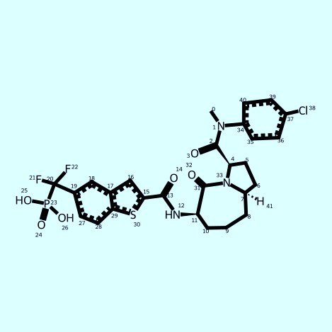 CN(C(=O)[C@H]1CC[C@H]2CCC[C@@H](NC(=O)c3cc4cc(C(F)(F)P(=O)(O)O)ccc4s3)C(=O)N21)c1ccc(Cl)cc1